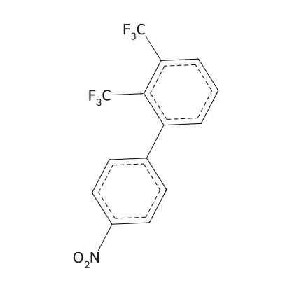 O=[N+]([O-])c1ccc(-c2cccc(C(F)(F)F)c2C(F)(F)F)cc1